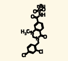 CCCCS(=O)(=O)NC(=O)c1ccc2c(c1)N(C)CN(Cc1ccc(Cl)cc1Cl)C2=O